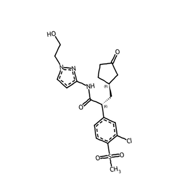 CS(=O)(=O)c1ccc([C@@H](C[C@H]2CCC(=O)C2)C(=O)Nc2ccn(CCO)n2)cc1Cl